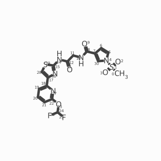 CS(=O)(=O)n1ccc(C(=O)NCC(=O)Nc2nc(-c3cccc(OC(F)F)n3)cs2)c1